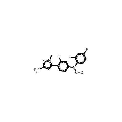 Cn1nc(C(F)(F)F)cc1-c1ccc(N(C=O)c2ccc(F)cc2F)cc1F